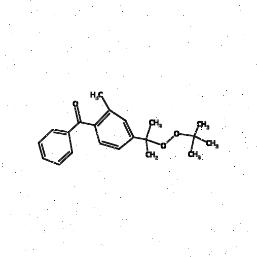 Cc1cc(C(C)(C)OOC(C)(C)C)ccc1C(=O)c1ccccc1